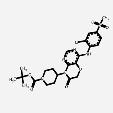 CC(C)(C)OC(=O)N1CCC(N2C(=O)COc3c(Nc4ccc(S(C)(=O)=O)cc4Cl)ncnc32)CC1